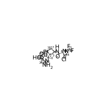 CC1(c2cc(NC(=O)c3nn(C(F)F)cc3Cl)ccc2F)CS(O)(O)C(C)(C)C(N)=N1